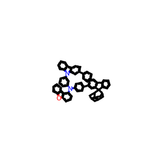 c1ccc(-c2ccc3c4ccccc4n(-c4cccc(N(c5ccc(-c6ccc7c(c6)C6(c8ccccc8-7)C7CC8CC(C7)CC6C8)cc5)c5cccc6oc7ccccc7c56)c4)c3c2)cc1